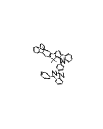 CC1(C)c2cc3c(cc2-c2ccc4c5ccccc5n(-c5ccc(-c6nc(-c7ccccc7)c7ccccc7n6)cc5)c4c21)oc1ccccc13